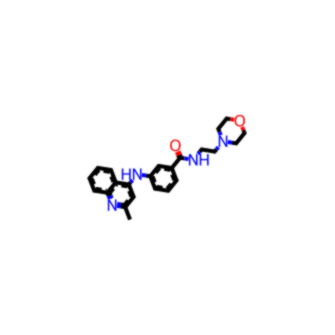 Cc1cc(Nc2cccc(C(=O)NCCN3CCOCC3)c2)c2ccccc2n1